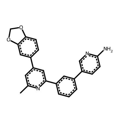 Cc1cc(-c2ccc3c(c2)OCO3)cc(-c2cccc(-c3ccc(N)nc3)c2)n1